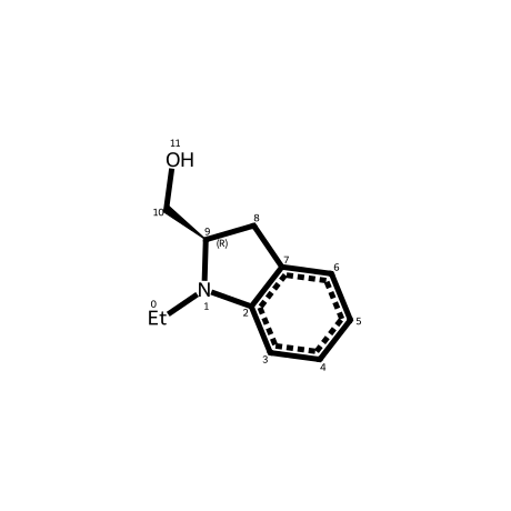 CCN1c2ccccc2C[C@@H]1CO